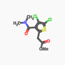 COC(=O)Cc1sc(Cl)c(Cl)c1C(=O)N(C)C